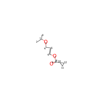 CC(C)OCC=COC(=O)C1CC1